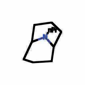 [CH2]CCN1C2CCCC1CCC2